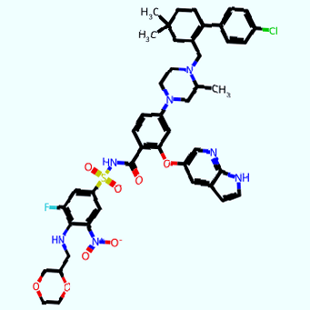 CC1CN(c2ccc(C(=O)NS(=O)(=O)c3cc(F)c(NCC4COCCO4)c([N+](=O)[O-])c3)c(Oc3cnc4[nH]ccc4c3)c2)CCN1CC1=C(c2ccc(Cl)cc2)CCC(C)(C)C1